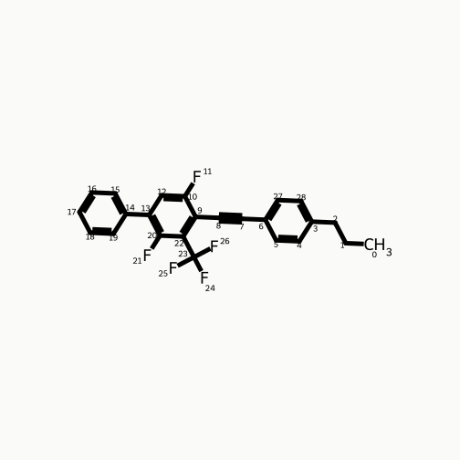 CCCc1ccc(C#Cc2c(F)cc(-c3ccccc3)c(F)c2C(F)(F)F)cc1